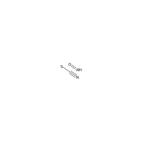 N#[C][Ti].[O]=[AlH]